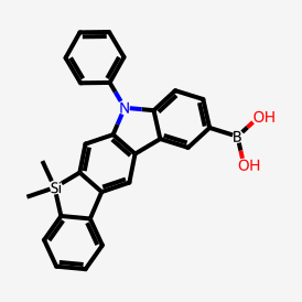 C[Si]1(C)c2ccccc2-c2cc3c4cc(B(O)O)ccc4n(-c4ccccc4)c3cc21